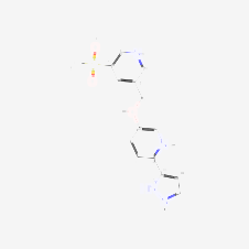 CS(=O)(=O)c1cncc(COc2ccc(-c3ccn[nH]3)nc2)c1